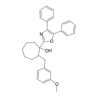 COc1cccc(CC2CCCCCC2(O)c2nc(-c3ccccc3)c(-c3ccccc3)o2)c1